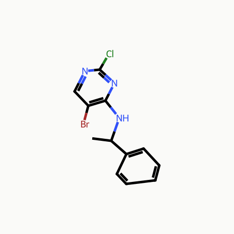 CC(Nc1nc(Cl)ncc1Br)c1ccccc1